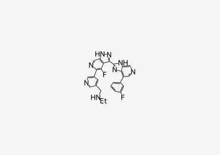 CCNCc1cncc(-c2ncc3[nH]nc(-c4nc5c(-c6cccc(F)c6)cncc5[nH]4)c3c2F)c1